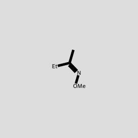 [CH2]C/C(C)=N\OC